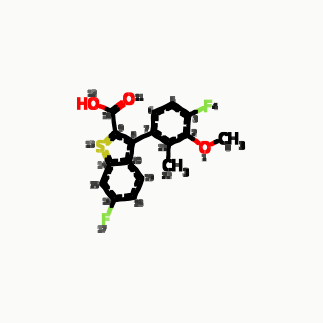 COc1c(F)ccc(-c2c(C(=O)O)sc3cc(F)ccc23)c1C